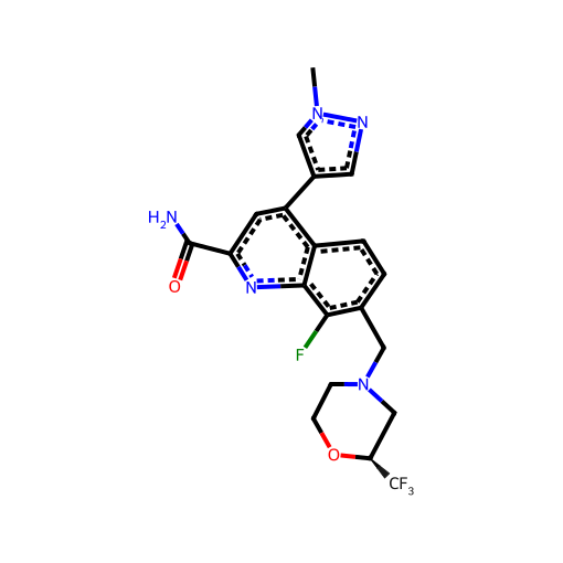 Cn1cc(-c2cc(C(N)=O)nc3c(F)c(CN4CCO[C@H](C(F)(F)F)C4)ccc23)cn1